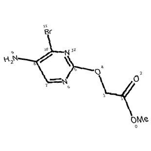 COC(=O)COc1ncc(N)c(Br)n1